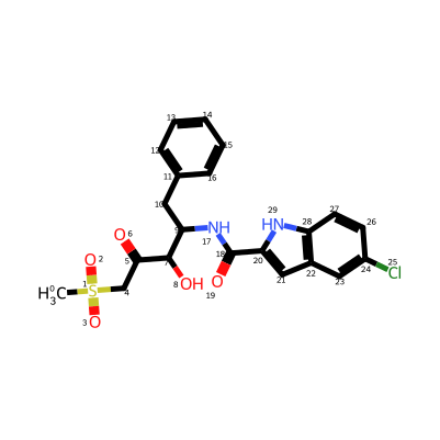 CS(=O)(=O)CC(=O)C(O)C(Cc1ccccc1)NC(=O)c1cc2cc(Cl)ccc2[nH]1